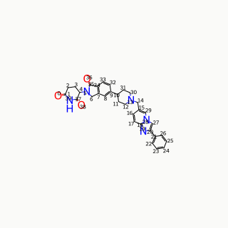 O=C1CCC(N2Cc3cc(C4CCN(Cc5ccc6nc(-c7ccccc7)cn6c5)CC4)ccc3C2=O)C(=O)N1